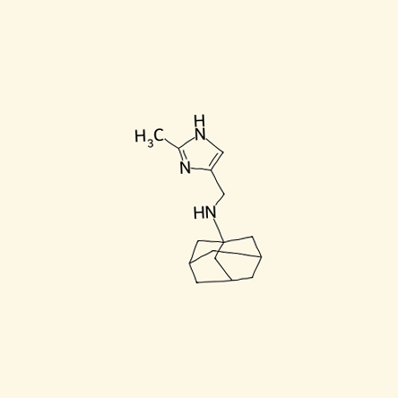 Cc1nc(CNC23CC4CC(CC(C4)C2)C3)c[nH]1